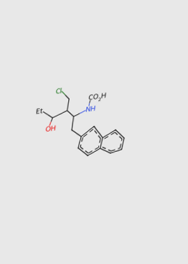 CCC(O)C(CCl)C(Cc1ccc2ccccc2c1)NC(=O)O